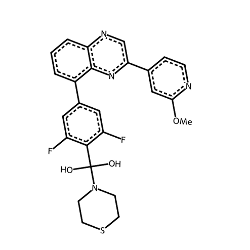 COc1cc(-c2cnc3cccc(-c4cc(F)c(C(O)(O)N5CCSCC5)c(F)c4)c3n2)ccn1